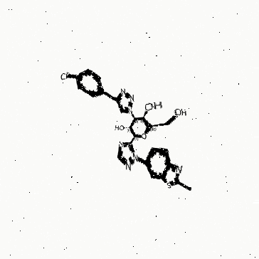 Cc1nc2ccc(-n3ncnc3[C@@H]3O[C@H](CO)[C@H](O)[C@H](n4cc(-c5ccc(Cl)cc5)nn4)[C@H]3O)cc2s1